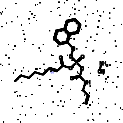 C=CCNC(=O)OP(=O)(OOc1cccc2ccccc12)OC(=O)/C=C/CCCCC.NO